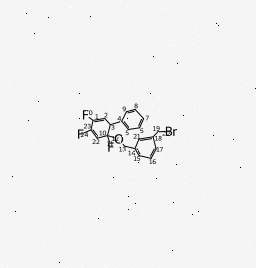 FC1=CC(c2ccccc2)C(F)(OCc2cccc(CBr)c2)C=C1F